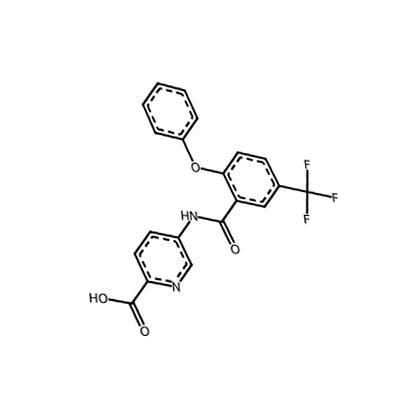 O=C(O)c1ccc(NC(=O)c2cc(C(F)(F)F)ccc2Oc2ccccc2)cn1